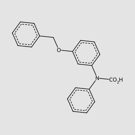 O=C(O)N(c1ccccc1)c1cccc(OCc2ccccc2)c1